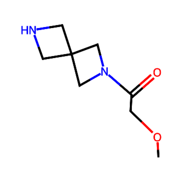 COCC(=O)N1CC2(CNC2)C1